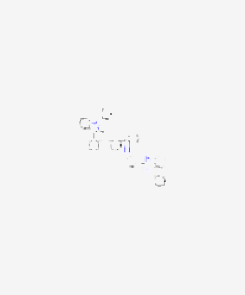 c1ccc(-n2c3ccccc3c3c4ccccc4c(-c4ccc5c(c4)c4ccccc4n5-c4cccc(-c5nc6c7c(cccc7n5)-c5ccccc5-6)c4)cc32)cc1